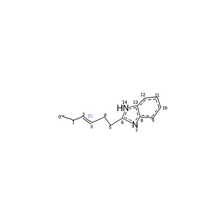 [CH2]C/C=C/CCc1nc2ccccc2[nH]1